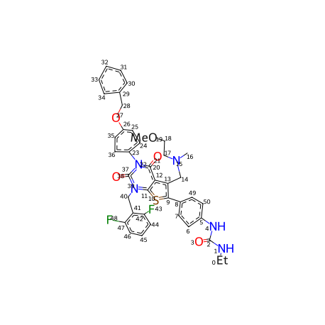 CCNC(=O)Nc1ccc(-c2sc3c(c2CN(C)CCOC)c(=O)n(-c2ccc(OCc4ccccc4)cc2)c(=O)n3Cc2c(F)cccc2F)cc1